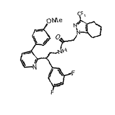 COc1ccc(-c2cccnc2C(CNC(=O)Cn2nc(C(F)(F)F)c3c2CCCC3)c2cc(F)cc(F)c2)cc1